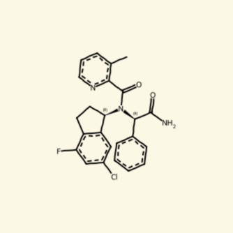 Cc1cccnc1C(=O)N([C@@H]1CCc2c(F)cc(Cl)cc21)[C@@H](C(N)=O)c1ccccc1